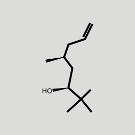 C=CC[C@H](C)C[C@H](O)C(C)(C)C